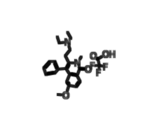 CCN(CC)CCc1c(-c2ccccc2)c2cc(OC)ccc2c(=O)n1C.O=C(O)C(F)(F)F